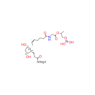 CCCCCCCC(=O)CC[C@@H]1[C@@H](C/C=C\CCCC(=O)NCC(=O)OC(C)CON(O)O)[C@@H](O)C[C@H]1O